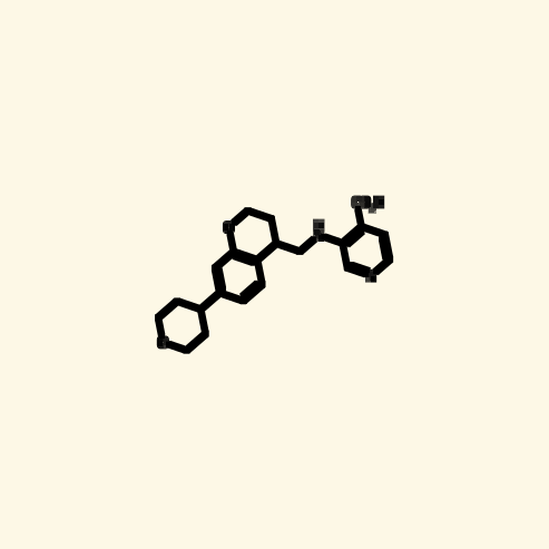 O=C(O)c1ccncc1NCC1CCOc2cc(C3CCOCC3)ccc21